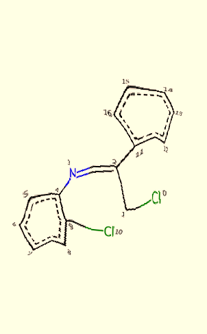 ClCC(=Nc1ccccc1Cl)c1ccccc1